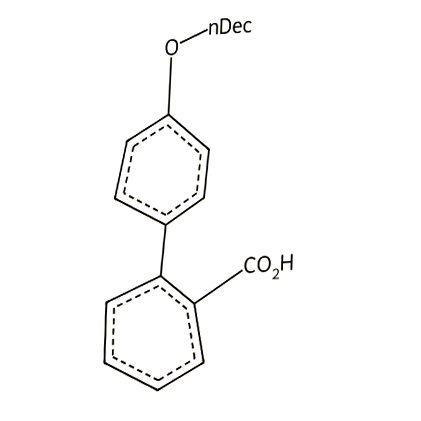 CCCCCCCCCCOc1ccc(-c2ccccc2C(=O)O)cc1